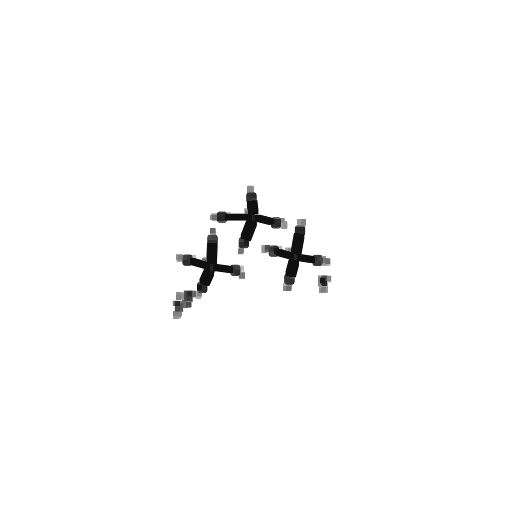 O=S(=O)([O-])[O-].O=S(=O)([O-])[O-].O=S(=O)([O-])[O-].[K+].[K+].[Ti+4]